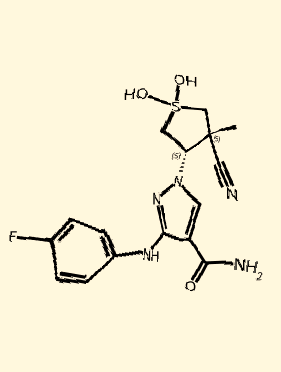 C[C@]1(C#N)CS(O)(O)C[C@H]1n1cc(C(N)=O)c(Nc2ccc(F)cc2)n1